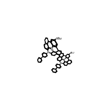 CC(C)(C)c1cc2c3c(c1)-c1cc4cc5c6c7c(ccc6c4c4ccc6c(c14)B3c1c(ccc3cccc-2c13)N6c1ccc(-c2ccccc2)cc1)N(c1ccc(-c2ccccc2)cc1)c1ccc2cccc3c2c1B7c1c-3cc(C(C)(C)C)cc1-5